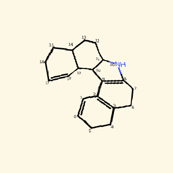 C1=CC2=C(CC1)CCC1=C2C2C(CCC3CCC=CC32)N1